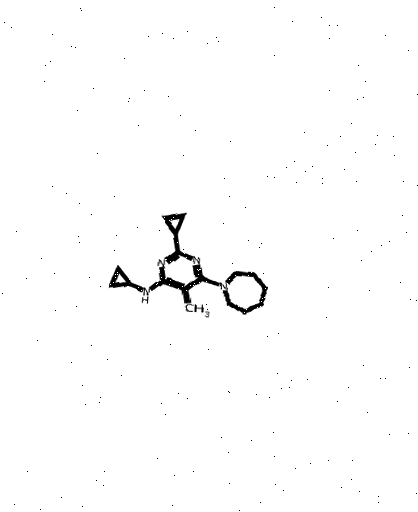 Cc1c(NC2CC2)nc(C2CC2)nc1N1CCCCCC1